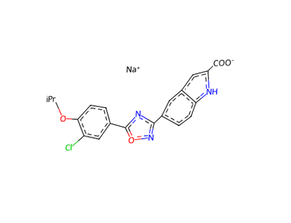 CC(C)Oc1ccc(-c2nc(-c3ccc4[nH]c(C(=O)[O-])cc4c3)no2)cc1Cl.[Na+]